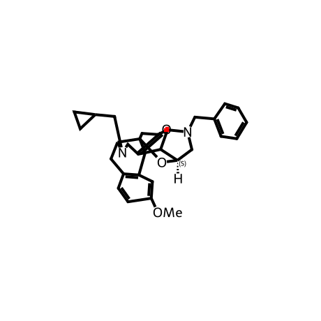 COc1ccc2c(c1)C13C(=O)CN(CC4CC4)C(C2)C12CCC1C3[C@@H](CN1Cc1ccccc1)O2